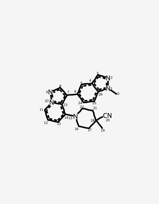 Cn1ncc2cc(-c3cnn4cccc(N5CCC(C)(C#N)CC5)c34)ccc21